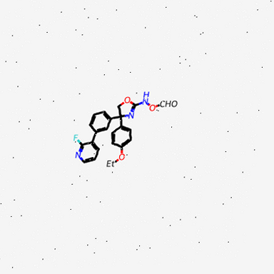 CCOc1ccc(C2(c3cccc(-c4cccnc4F)c3)COC(NOC=O)=N2)cc1